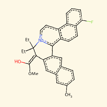 CCC1(CC)/C(=C(\O)OC)c2cc3cc(C)ccc3cc2-c2c3ccc4c(F)cccc4c3cc[n+]21